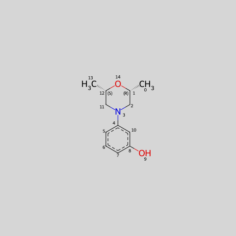 C[C@@H]1CN(c2cccc(O)c2)C[C@H](C)O1